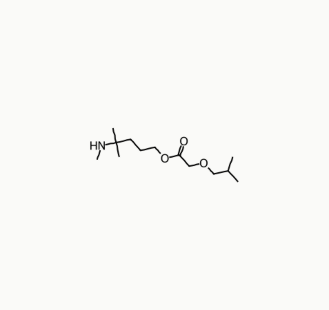 CNC(C)(C)CCCOC(=O)COCC(C)C